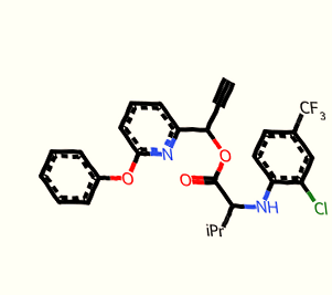 C#CC(OC(=O)C(Nc1ccc(C(F)(F)F)cc1Cl)C(C)C)c1cccc(Oc2ccccc2)n1